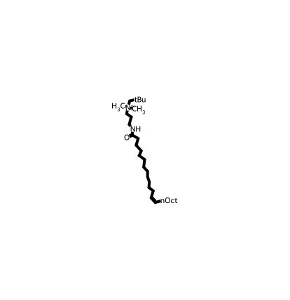 CCCCCCCC/C=C\CCCCCCCCCCCC(=O)NCCC[N+](C)(C)CC(C)(C)C